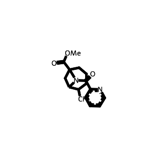 COC(=O)C12CCCC(C)C(C1)N2C(=O)c1ccccn1